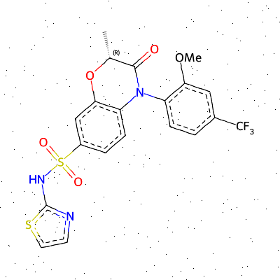 COc1cc(C(F)(F)F)ccc1N1C(=O)[C@@H](C)Oc2cc(S(=O)(=O)Nc3nccs3)ccc21